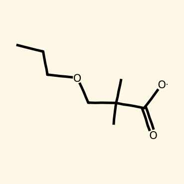 CCCOCC(C)(C)C([O])=O